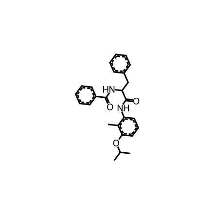 Cc1c(NC(=O)C(Cc2ccccc2)NC(=O)c2ccccc2)cccc1OC(C)C